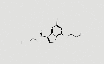 CCOC(=O)c1coc2c(OCCF)cc(Br)cc12